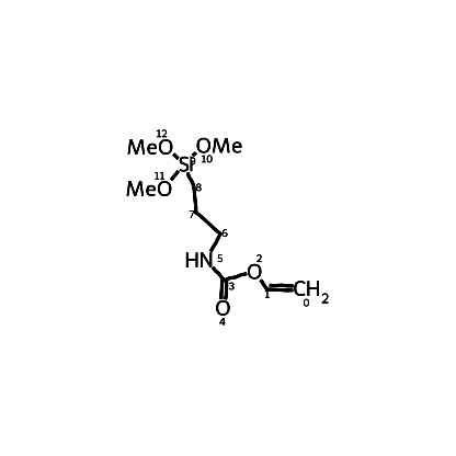 C=COC(=O)NCCC[Si](OC)(OC)OC